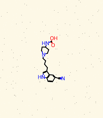 N#Cc1ccc2[nH]cc(CCCCN3CCC(NC(=O)O)CC3)c2c1